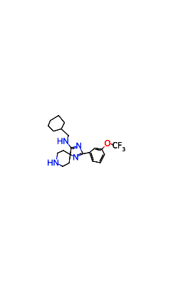 FC(F)(F)Oc1cccc(C2=NC3(CCNCC3)C(NCC3CCCCC3)=N2)c1